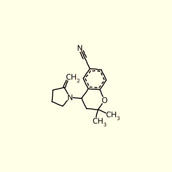 C=C1CCCN1C1CC(C)(C)Oc2ccc(C#N)cc21